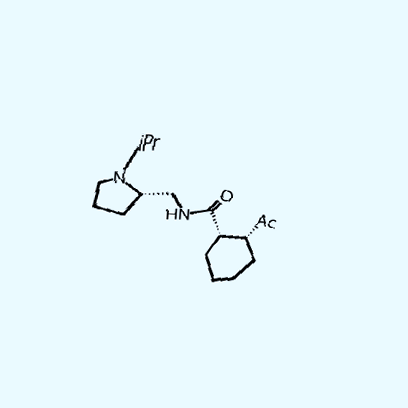 CC(=O)[C@@H]1CCCC[C@@H]1C(=O)NC[C@@H]1CCCN1C(C)C